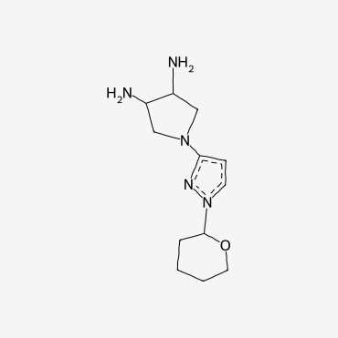 NC1CN(c2ccn(C3CCCCO3)n2)CC1N